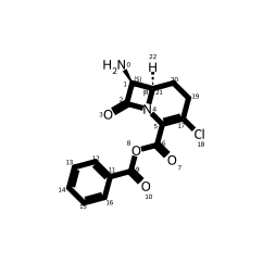 N[C@@H]1C(=O)N2C(C(=O)OC(=O)c3ccccc3)=C(Cl)CC[C@H]12